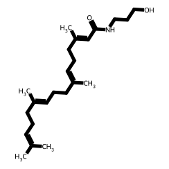 CC(C)=CCCC(C)=CCCC(C)=CCCC(C)=CC(=O)NCCCO